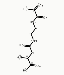 C=C(C)C(=O)NCCNC(=O)CC(N)C(=O)O